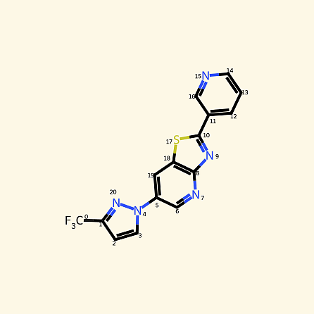 FC(F)(F)c1ccn(-c2cnc3nc(-c4cccnc4)sc3c2)n1